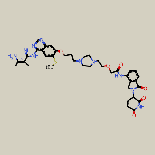 C/C(N)=C(\C)C(=N)Nc1ncnc2cc(OCCCN3CCN(CCOCC(=O)Nc4cccc5c4CN(C4CCC(=O)NC4=O)C5=O)CC3)c(SC(C)(C)C)cc12